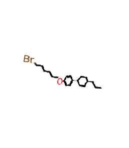 CCC[C@H]1CC[C@H](c2ccc(OCCCCCCBr)cc2)CC1